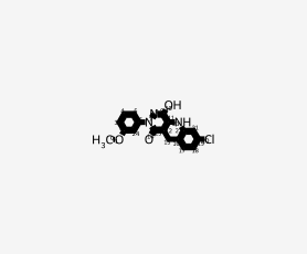 COc1cccc(-n2nc(O)c3c(c2=O)Cc2ccc(Cl)cc2N3)c1